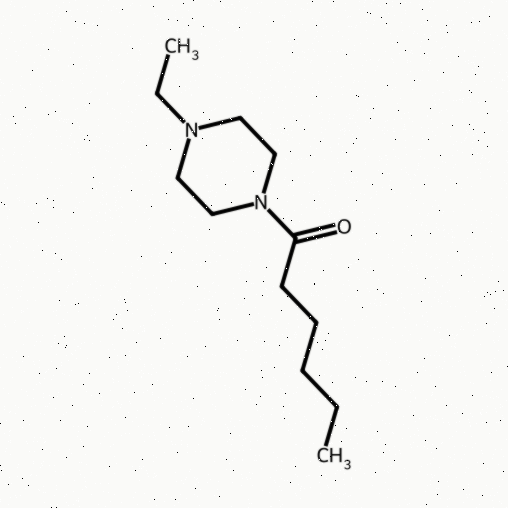 CCCCCC(=O)N1CCN(CC)CC1